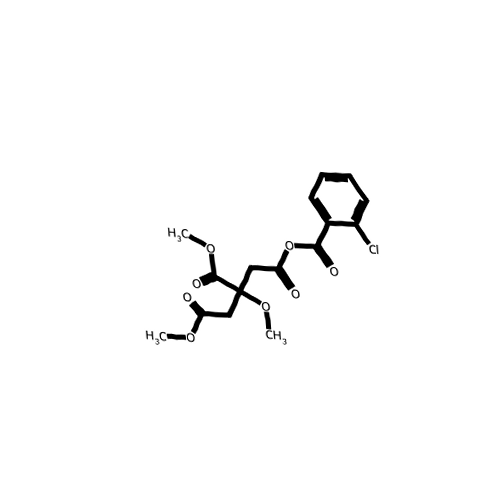 COC(=O)CC(CC(=O)OC(=O)c1ccccc1Cl)(OC)C(=O)OC